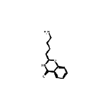 NCCCCC1NC(=O)c2ccccc2O1